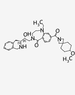 CCN1CCN(C[C@@H](O)[C@@H]2Cc3ccccc3CN2)C(=O)c2ccc(C(=O)N3CC4(CCC(OC)CC4)C3)cc21